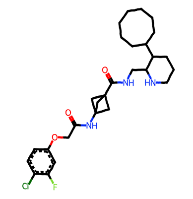 O=C(COc1ccc(Cl)c(F)c1)NC12CC(C(=O)NCC3NCCCC3C3CCCCCCC3)(C1)C2